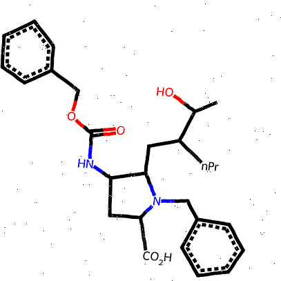 CCCC(CC1C(NC(=O)OCc2ccccc2)CC(C(=O)O)N1Cc1ccccc1)C(C)O